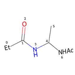 CCC(=O)NC(C)NC(C)=O